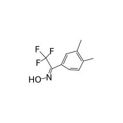 Cc1ccc(C(=NO)C(F)(F)F)cc1C